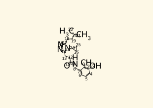 Cc1c(O)cccc1CNC(=O)CCc1nnc(CCC(C)C)n1C1CC1